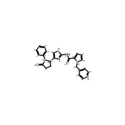 O=C(Nc1nc([C@H]2CCC(=O)N2c2ccccc2)cs1)c1cccn1Cc1ccncc1